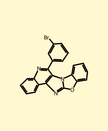 Brc1cccc(-c2nc3ccccc3c3nc4oc5ccccc5n4c23)c1